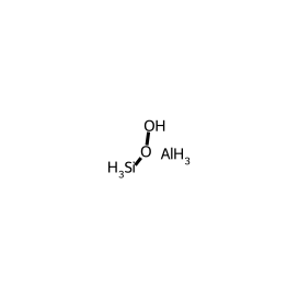 OO[SiH3].[AlH3]